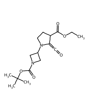 CCOC(=O)C1CCN(C2CN(C(=O)OC(C)(C)C)C2)C1=C=O